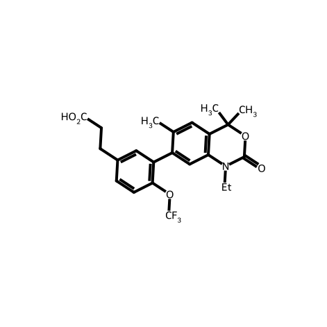 CCN1C(=O)OC(C)(C)c2cc(C)c(-c3cc(CCC(=O)O)ccc3OC(F)(F)F)cc21